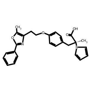 Cc1oc(-c2ccccc2)nc1CCOc1ccc(C[C@@](C)(C(=O)O)n2cccc2)cc1